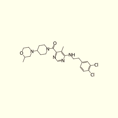 Cc1c(NCCc2ccc(Cl)c(Cl)c2)ncnc1C(=O)N1CCC(N2CCOC(C)C2)CC1